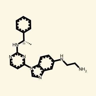 C[C@H](Nc1nccc(-n2cnc3cc(NCCN)ccc32)n1)c1ccccc1